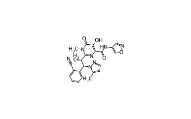 Cc1ccnn1[C@@H](c1ccccc1C#N)[C@@H](C)c1nc(C(=O)Nc2cnoc2)c(O)c(=O)n1C